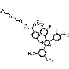 COc1ccc(-c2nc(-c3cc(C)cc(C)c3)n(Cc3ccc(C(=O)NCCOCCOCCN)cc3)c2-c2ccc(OC)c(F)c2)cc1F